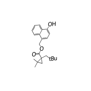 CC(C)(C)CC1(C(=O)OCc2ccc(O)c3ccccc23)CC1(C)C